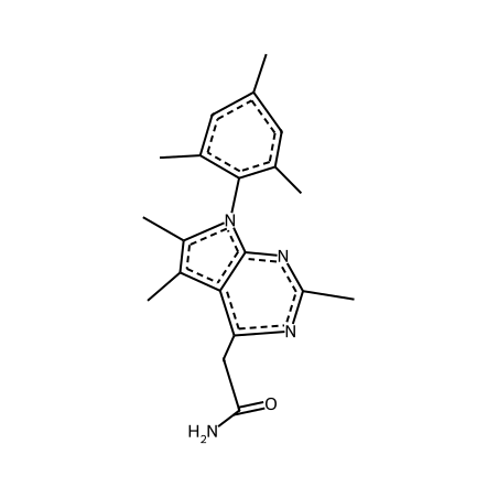 Cc1cc(C)c(-n2c(C)c(C)c3c(CC(N)=O)nc(C)nc32)c(C)c1